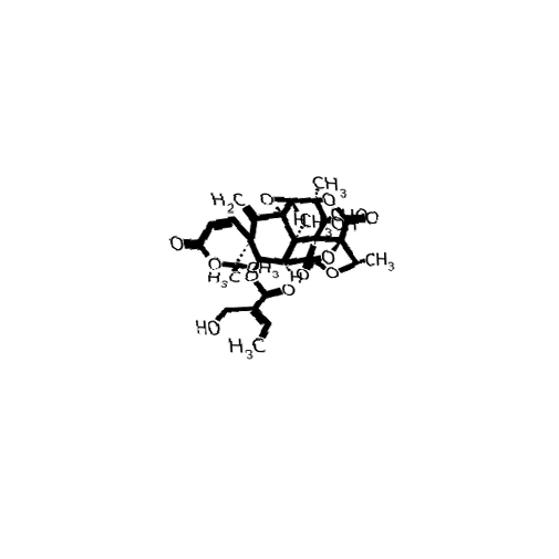 C=C1[C@@]23O[C@@H]2[C@@]2(C)OC(=O)[C@@]45O[C@@H]([C@@H](OC(=O)/C(=C/C)CO)[C@@]16C=CC(=O)OC6(C)C)[C@]3(C)[C@@]4(C(=O)O[C@@H]5C)[C@@]2(O)C=O